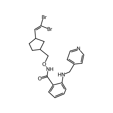 O=C(NOCC1CCC(C=C(Br)Br)C1)c1ccccc1NCc1ccncc1